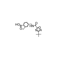 CC(C)(C)c1noc(C(=O)NCc2ccc3c(c2)COB3O)n1